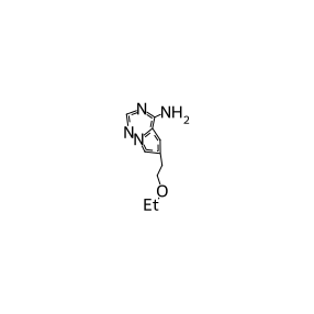 CCOCCc1cc2c(N)ncnn2c1